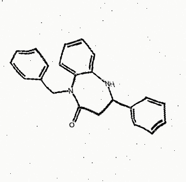 O=C1CC(c2ccccc2)Nc2ccccc2N1Cc1ccccc1